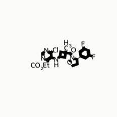 CCOC(=O)c1ncnc(Cl)c1NC1CC(C)(C(=O)N2OCC[C@H]2c2cc(F)cc(F)c2)C1